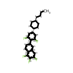 CCCC[C@H]1CC[C@H](c2cc(F)c(-c3ccc4c(F)c(F)c(F)cc4c3)c(F)c2)CC1